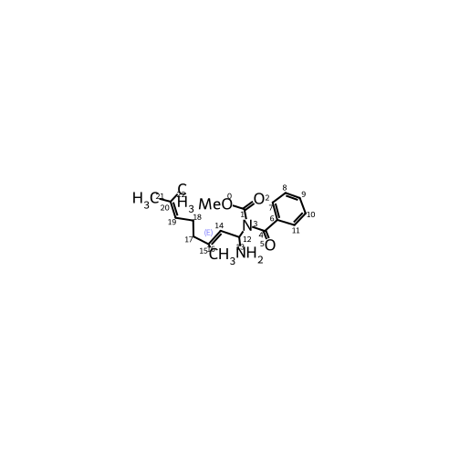 COC(=O)N(C(=O)c1ccccc1)C(N)/C=C(\C)CCC=C(C)C